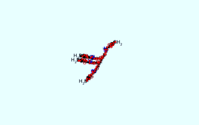 BCc1ccc(OC(=O)CCc2cn(CCOCCOCC(COCC(COCCOCCn3cc(CCC(=O)Oc4ccc(CB)cc4)nn3)OCCOCCn3cc(CCC(=O)Oc4ccc(CB)cc4)nn3)OCCOCCn3cc(CCC(=O)Oc4ccc(CB)cc4)nn3)nn2)cc1